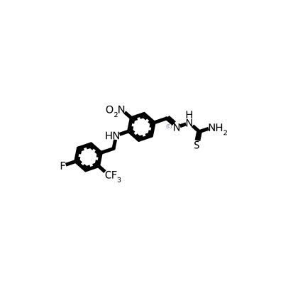 NC(=S)N/N=C/c1ccc(NCc2ccc(F)cc2C(F)(F)F)c([N+](=O)[O-])c1